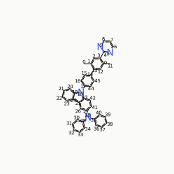 Cc1cc(-c2ncccn2)c(C)cc1-c1ccc(-n2c3ccccc3c3cc(N(c4ccccc4)c4ccccc4)ccc32)cc1